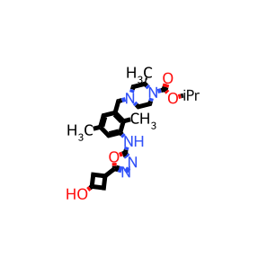 Cc1cc(CN2CCN(C(=O)OC(C)C)[C@@H](C)C2)c(C)c(Nc2nnc(C3CC(O)C3)o2)c1